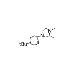 CC1CN(c2ccc(C(C)(C)C)cc2)CCN1C